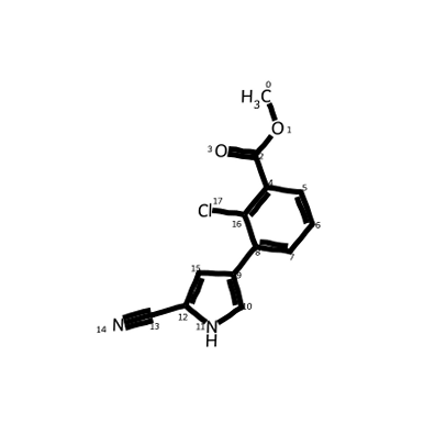 COC(=O)c1cccc(-c2c[nH]c(C#N)c2)c1Cl